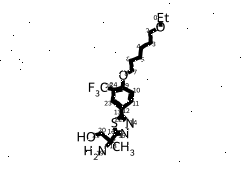 CCOCCCCCCOc1ccc(-c2nnc(C(C)(N)CO)s2)cc1C(F)(F)F